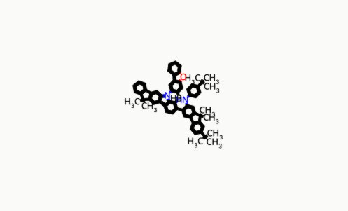 CC(C)(C)c1ccc(Nc2cc3c(cc2-c2ccc4c5cc6c(cc5n5c4c2Bc2cc4oc7ccccc7c4cc2-5)-c2ccccc2C6(C)C)-c2ccc(C(C)(C)C)cc2C3(C)C)cc1